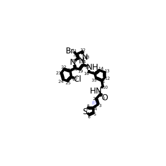 O=C(/C=C/c1ccsc1)NCc1cccc(CNc2cc(-c3ccccc3Cl)nc3c(Br)cnn23)c1